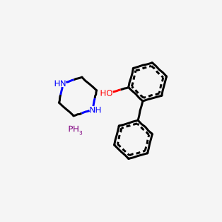 C1CNCCN1.Oc1ccccc1-c1ccccc1.P